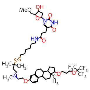 COCC1OC(n2cc(CCC(=O)NCCCCCCSSC(C)(C)CCN(C)CCOc3ccc4c(c3)CCC3C4CCC4(C)C(OCCCOC(C(F)(F)F)(C(F)(F)F)C(F)(F)F)CCC34)c(=O)[nH]c2=O)CC1O